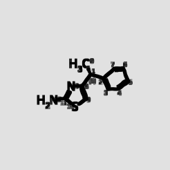 C[C@@H](c1ccccc1)c1csc(N)n1